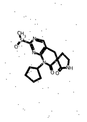 C[S+]([O-])c1ncc2c(n1)N(C1CCCC1)C(=O)C1(CCNC1=O)C2